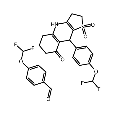 O=C1CCCC2=C1C(c1ccc(OC(F)F)cc1)C1=C(CCS1(=O)=O)N2.O=Cc1ccc(OC(F)F)cc1